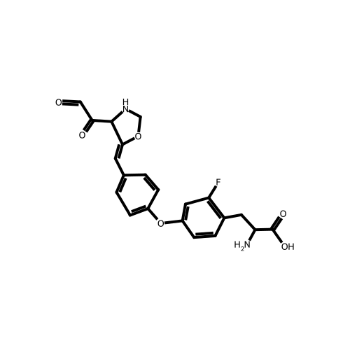 NC(Cc1ccc(Oc2ccc(C=C3OCNC3C(=O)C=O)cc2)cc1F)C(=O)O